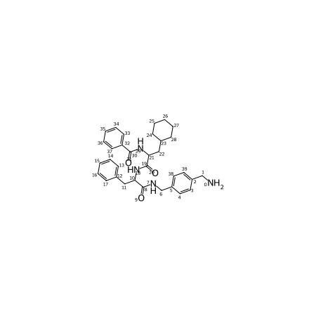 NCc1ccc(CNC(=O)C(Cc2ccccc2)NC(=O)C(CC2CCCCC2)NC(=O)c2ccccc2)cc1